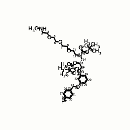 CNCCOCCOCCOCCN(C[C@H](COc1cccc(OCc2ccc(F)cc2)c1)O[Si](C)(C)C(C)(C)C)C(=O)OC(C)(C)C